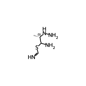 C[C@H](NN)C(N)SC=N